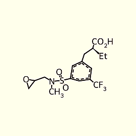 CC[C@@H](Cc1cc(C(F)(F)F)cc(S(=O)(=O)N(C)CC2CO2)c1)C(=O)O